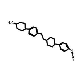 CC1CCC(c2ccc(CCC3CCC(c4ccc(N=C=S)cc4)CC3)cc2)CC1